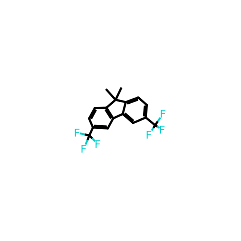 CC1(C)c2ccc(C(F)(F)F)cc2-c2cc(C(F)(F)F)ccc21